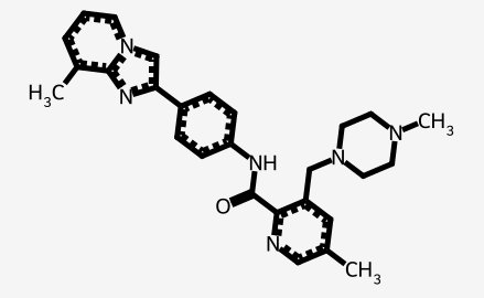 Cc1cnc(C(=O)Nc2ccc(-c3cn4cccc(C)c4n3)cc2)c(CN2CCN(C)CC2)c1